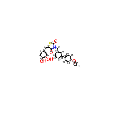 O=C1SC(=Cc2ccc(O)c(O)c2)C(=O)N1Cc1cccc(-c2ccc(OC(F)(F)F)cc2)c1